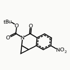 CC(C)(C)OC(=O)N1C(=O)c2ccc([N+](=O)[O-])cc2C2CC21